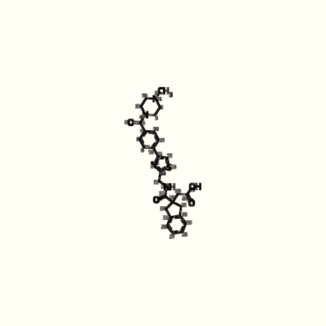 CN1CCN(C(=O)c2ccc(-c3csc(CNC(=O)C4(CC(=O)O)Cc5ccccc5C4)n3)cc2)CC1